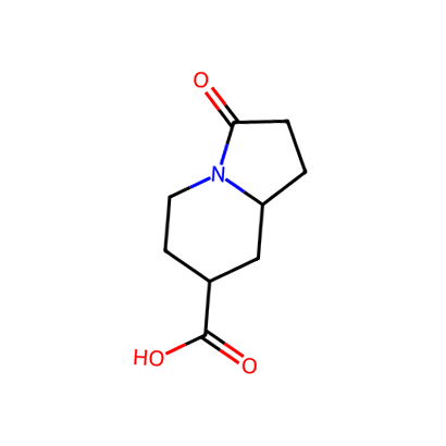 O=C(O)C1CCN2C(=O)CCC2C1